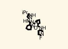 CC(C)c1cc(Nc2nc(N3CCCC3C(=O)Nc3ccc(F)nc3)nc3c2CCCC3)n[nH]1